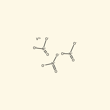 O=[N+]([O-])[O-].O=[N+]([O-])[O-].O=[N+]([O-])[O-].[V+3]